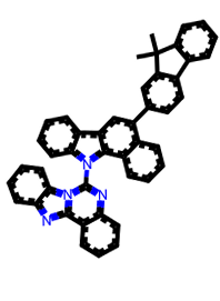 CC1(C)c2ccccc2-c2ccc(-c3cc4c5ccccc5n(-c5nc6ccccc6c6nc7ccccc7n56)c4c4ccccc34)cc21